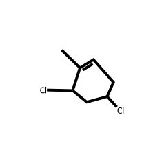 CC1=CCC(Cl)CC1Cl